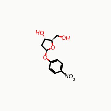 O=[N+]([O-])c1ccc(O[C@H]2C[C@H](O)[C@@H](CO)O2)cc1